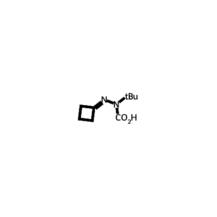 CC(C)(C)N(N=C1CCC1)C(=O)O